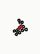 CC1(C)c2ccccc2-c2cccc(-c3ccc(N(c4ccc5c(c4)C(c4ccccc4)(c4ccccc4)c4ccccc4-5)c4cccc(-c5ccccc5)c4-c4ccccc4-c4ccccc4)cc3)c21